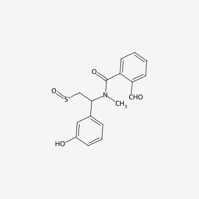 CN(C(=O)c1ccccc1C=O)C(C[S+]=O)c1cccc(O)c1